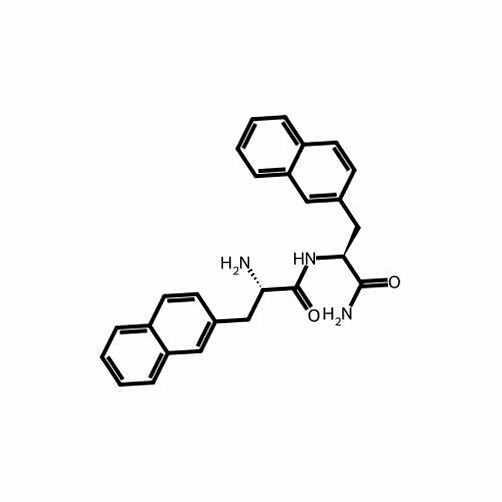 NC(=O)[C@H](Cc1ccc2ccccc2c1)NC(=O)[C@@H](N)Cc1ccc2ccccc2c1